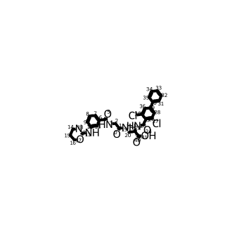 O=C(CNC(=O)c1cccc(NC2=NCCCO2)c1)NCC(NC(=O)c1c(Cl)cc(-c2ccccc2)cc1Cl)C(=O)O